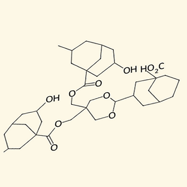 CC1CC2CC(O)CC(C(=O)OCC3(COC(=O)C45CC(C)CC(CC(O)C4)C5)COC(C4CC5CCCC(C(=O)O)(C5)C4)OC3)(C1)C2